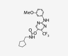 COc1cccc(Nc2ncc(OC(=O)NCC3CCCC3)c(C(F)(F)F)n2)c1